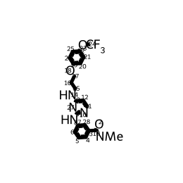 CNC(=O)c1cccc(Nc2nccc(NCCCOc3ccc(OC(F)(F)F)cc3)n2)c1